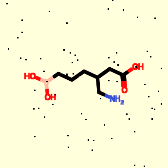 NCC(CCCB(O)O)CC(=O)O